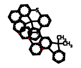 CC1(C)c2ccccc2-c2ccc(N(c3ccccc3-c3ccccc3)c3cccc4c3C(c3ccccc3)(c3ccccc3)c3c(ccc5ccccc35)S4)cc21